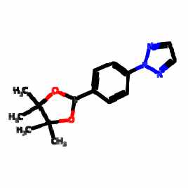 CC1(C)OB(c2ccc(-n3nccn3)cc2)OC1(C)C